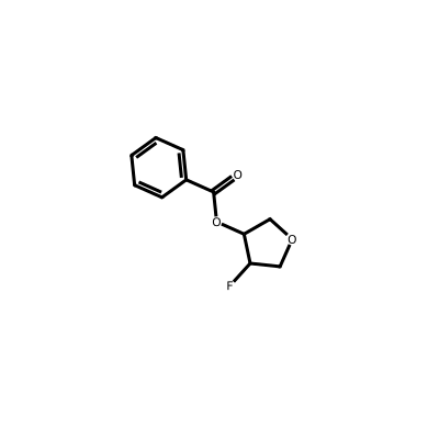 O=C(OC1COCC1F)c1ccccc1